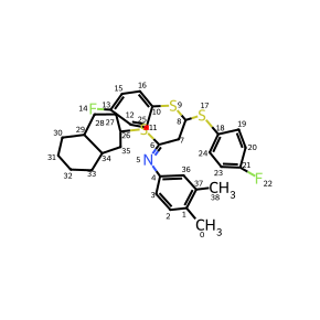 Cc1ccc(N=C(CC(Sc2ccc(F)cc2)Sc2ccc(F)cc2)SC2CCC3CCCCC3C2)cc1C